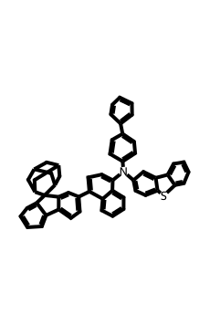 c1ccc(-c2ccc(N(c3ccc4sc5ccccc5c4c3)c3ccc(-c4ccc5c(c4)C4(c6ccccc6-5)C5CC6CC(C5)CC4C6)c4ccccc34)cc2)cc1